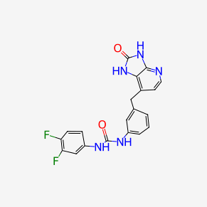 O=C(Nc1cccc(Cc2ccnc3[nH]c(=O)[nH]c23)c1)Nc1ccc(F)c(F)c1